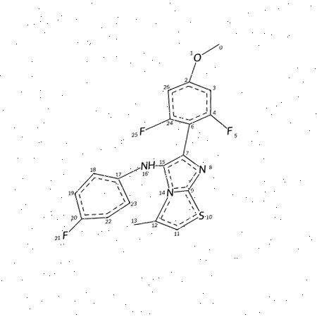 COc1cc(F)c(-c2nc3scc(C)n3c2Nc2ccc(F)cc2)c(F)c1